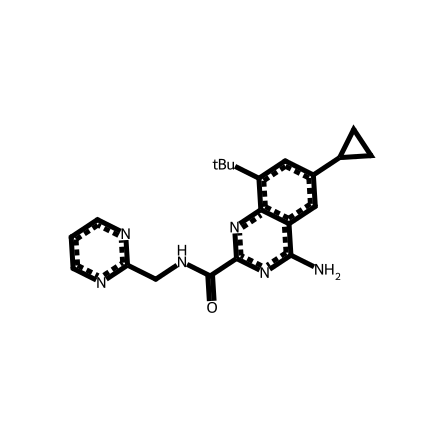 CC(C)(C)c1cc(C2CC2)cc2c(N)nc(C(=O)NCc3ncccn3)nc12